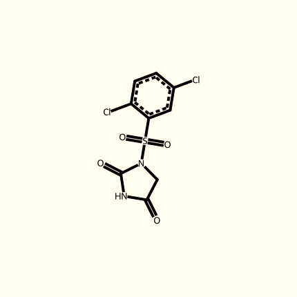 O=C1CN(S(=O)(=O)c2cc(Cl)ccc2Cl)C(=O)N1